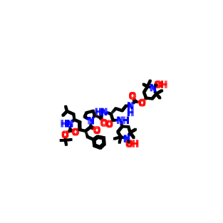 CC(C)CC(/C=C/[C@H](Cc1ccccc1)C(=O)N1CCC[C@H]1C(=O)N[C@@H](CCCNC(=O)OC1CC(C)(C)N(O)C(C)(C)C1)C(=O)NC1CC(C)(C)N(O)C(C)(C)C1)NC(=O)OC(C)(C)C